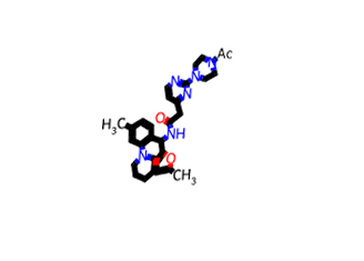 CC(=O)N1CCN(c2nccc(CC(=O)NC(c3ccc(C)o3)c3ccc(C)cc3N3CCCCC3)n2)CC1